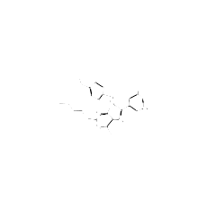 CCCCOC1N=c2c(nc(-c3cncc(F)c3)n2Cc2ccc(CO)cc2)=C(C)N1